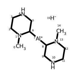 CN1CCNC[CH]1[Al+][CH]1CNCCN1C.[H-]